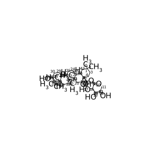 CC1(C)CC[C@]2(C(=O)O[C@H]3OC[C@H](O)[C@@H](O)C3O)C(O)C[C@]3(C)C(=CC[C@@H]4[C@@]5(C)CC[C@H](O)C(C)(C)[C@@H]5CC[C@]43C)[C@@H]2C1